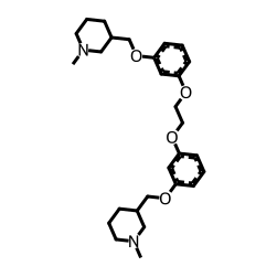 CN1CCCC(COc2cccc(OCCOc3cccc(OCC4CCCN(C)C4)c3)c2)C1